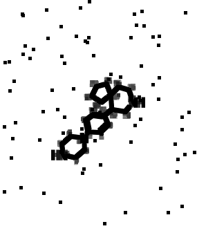 c1cc(N2CCNCC2)ccc1C1CNCCC12CCCC2